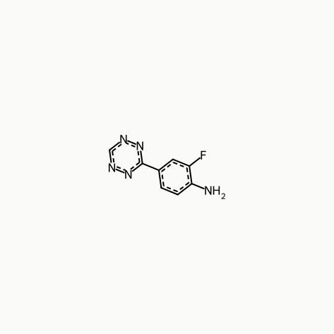 Nc1ccc(-c2nncnn2)cc1F